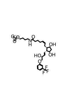 O=C(CCC/C=C\C[C@@H]1[C@@H](/C=C/[C@@H](O)COc2cccc(C(F)(F)F)c2)[C@H](O)C[C@@H]1O)NCCCCO[N+](=O)[O-]